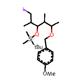 COc1ccc(COC(C)C(C)C(O[Si](C)(C)C(C)(C)C)C(C)CI)cc1